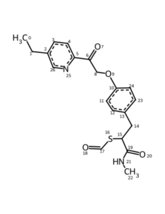 CCc1ccc(C(=O)COc2ccc(CC(SC=O)C(=O)NC)cc2)nc1